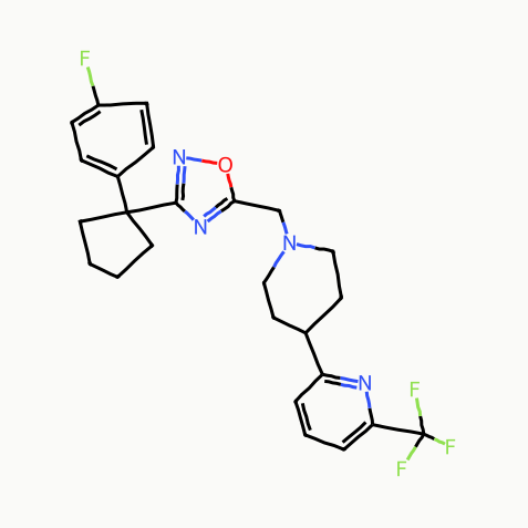 Fc1ccc(C2(c3noc(CN4CCC(c5cccc(C(F)(F)F)n5)CC4)n3)CCCC2)cc1